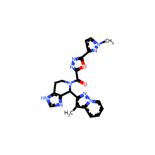 Cc1c(C2c3nc[nH]c3CCN2C(=O)c2nnc(-c3ccn(C)n3)o2)nn2ccccc12